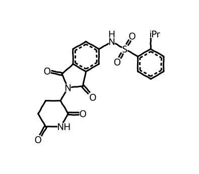 CC(C)c1ccccc1S(=O)(=O)Nc1ccc2c(c1)C(=O)N(C1CCC(=O)NC1=O)C2=O